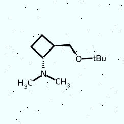 CN(C)[C@@H]1CC[C@H]1COC(C)(C)C